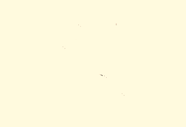 Cc1nccn1[C@H]1CC[C@@]2(CNc3ncc(Br)c(Cl)c32)C1